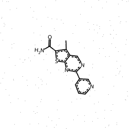 Cc1c(C(N)=O)sc2nc(-c3cccnc3)ncc12